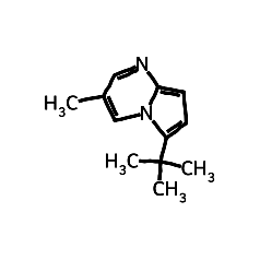 Cc1cnc2ccc(C(C)(C)C)n2c1